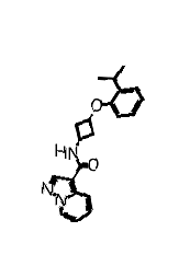 CC(C)c1ccccc1O[C@H]1C[C@H](NC(=O)c2cnn3ccccc23)C1